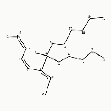 C\C=C(/C=C\C=N/C)C(C)(CCCCC)CCCCCC